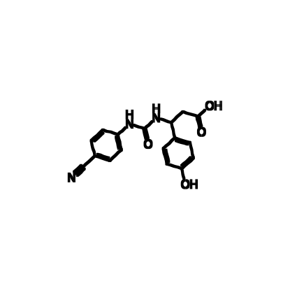 N#Cc1ccc(NC(=O)NC(CC(=O)O)c2ccc(O)cc2)cc1